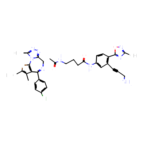 Cc1noc(-c2ccc(NC(=O)CCCNC(=O)C[C@@H]3N=C(c4ccc(Cl)cc4)c4c(sc(C)c4C)-n4c(C)nnc43)cc2C#CCN)n1